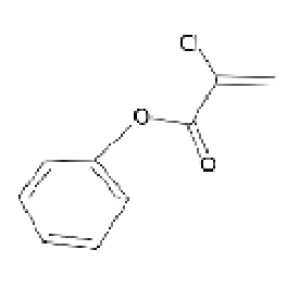 C=C(Cl)C(=O)Oc1ccccc1